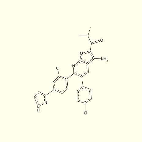 CC(C)C(=O)c1oc2nc(-c3ccc(-c4cc[nH]n4)cc3Cl)c(-c3ccc(Cl)cc3)cc2c1N